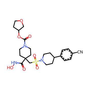 N#Cc1ccc(C2CCN(S(=O)(=O)CC3(C(=O)NO)CCN(C(=O)OC4CCOC4)CC3)CC2)cc1